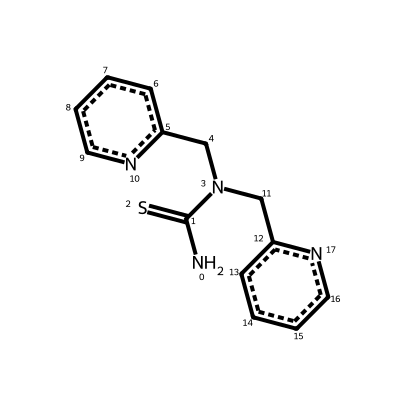 NC(=S)N(Cc1ccccn1)Cc1ccccn1